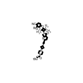 CC(C)(C)OC(=O)N1CCN([C@H]2C[C@H](C#Cc3ccc4c(n3)CN([C@H]3C(C)(C)[C@H](Oc5ccc(C#N)c(Br)c5)C3(C)C)C4=O)C2)CC1